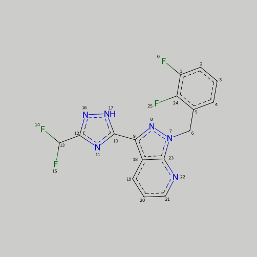 Fc1cccc(Cn2nc(-c3nc(C(F)F)n[nH]3)c3cccnc32)c1F